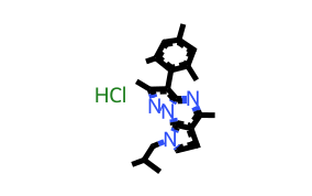 Cc1cc(C)c(-c2c(C)nn3c2nc(C)c2ccn(CC(C)C)c23)c(C)c1.Cl